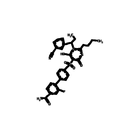 CCCCc1nc(=O)c(S(=O)(=O)c2ccc(-c3ccc(C(N)=O)cc3F)cc2)c(O)n1C(CC)c1cccc(C#N)c1